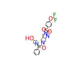 O=C([C@H](c1ccccc1)N1CC(O)C1)N1Cc2cn(S(=O)(=O)c3ccc(OC(F)F)cc3)nc2C1